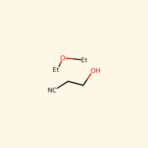 CCOCC.N#CCCO